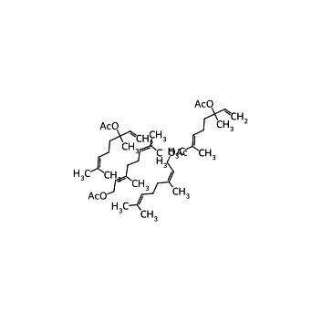 C=CC(C)(CCC=C(C)C)OC(C)=O.C=CC(C)(CCC=C(C)C)OC(C)=O.CC(=O)OC/C=C(/C)CCC=C(C)C.CC(=O)OC/C=C(\C)CCC=C(C)C